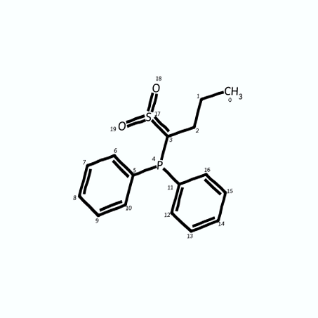 CCCC(P(c1ccccc1)c1ccccc1)=S(=O)=O